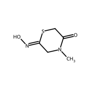 CN1CC(=NO)SCC1=O